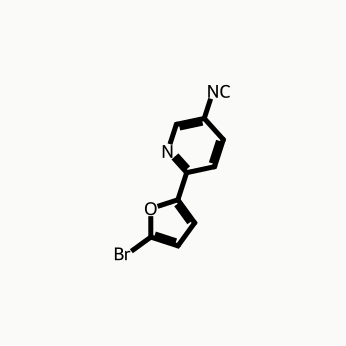 [C-]#[N+]c1ccc(-c2ccc(Br)o2)nc1